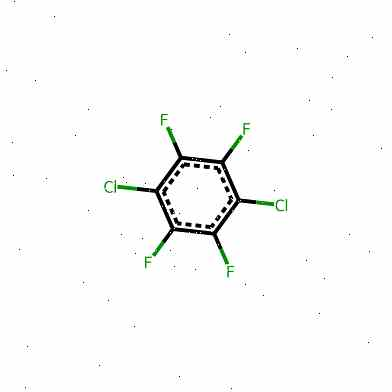 Fc1c(F)c(Cl)c(F)c(F)c1Cl